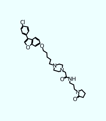 O=C(CN1CCN(CCCCCOc2ccc3c(-c4ccc(Cl)cc4)coc3c2)CC1)NCCCN1CCCC1=O